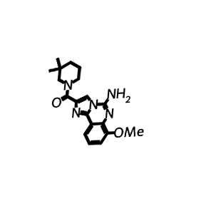 COc1cccc2c1nc(N)n1cc(C(=O)N3CCCC(C)(C)C3)nc21